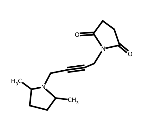 CC1CCC(C)N1CC#CCN1C(=O)CCC1=O